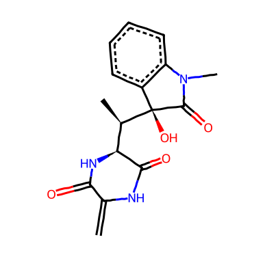 C=C1NC(=O)[C@H]([C@@H](C)[C@@]2(O)C(=O)N(C)c3ccccc32)NC1=O